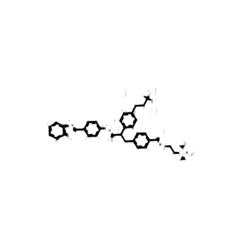 CC(C)(C)CCc1ccc(C(Cc2ccc(C(=O)NCCS(=O)(=O)O)cc2)C(=O)Nc2ccc(-c3nc4ccccc4o3)cc2)cc1